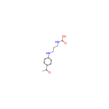 CC(=O)c1ccc(NCCCNC(=O)O)cc1